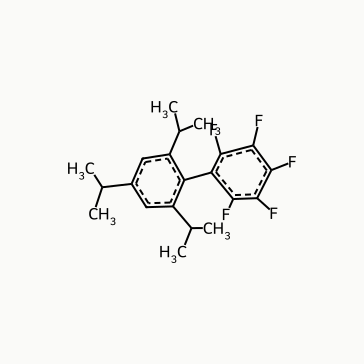 CC(C)c1cc(C(C)C)c(-c2c(F)c(F)c(F)c(F)c2F)c(C(C)C)c1